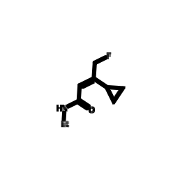 CCNC(=O)/C=C(/CF)C1CC1